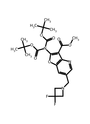 COC(=O)c1c(N(C(=O)OC(C)(C)C)C(=O)OC(C)(C)C)oc2cc(CN3CC(F)(F)C3)cnc12